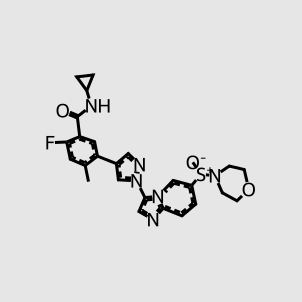 Cc1cc(F)c(C(=O)NC2CC2)cc1-c1cnn(-c2cnc3ccc([S+]([O-])N4CCOCC4)cn23)c1